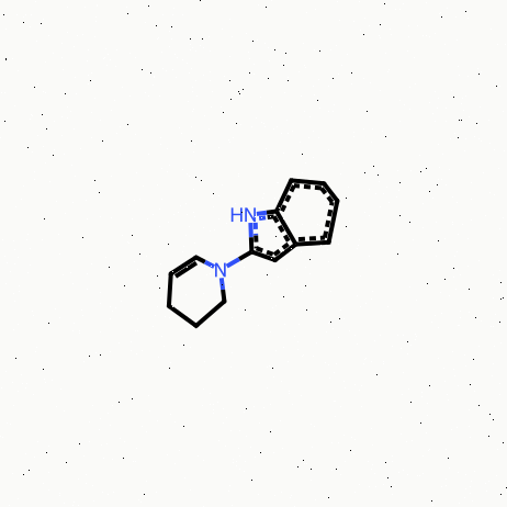 C1=CN(c2cc3ccccc3[nH]2)CCC1